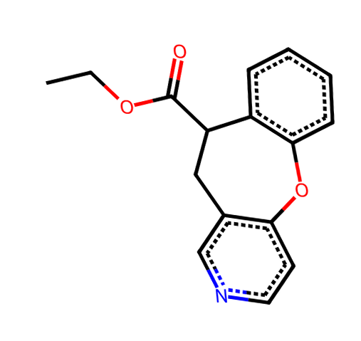 CCOC(=O)C1Cc2cnccc2Oc2ccccc21